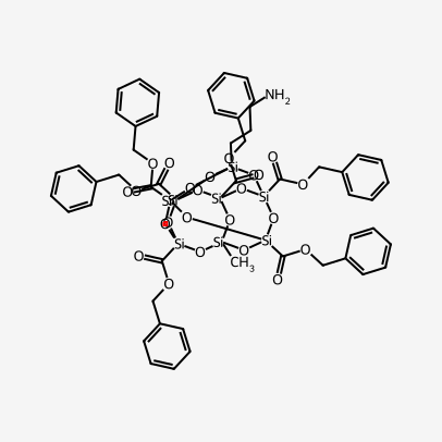 C[Si]12O[Si]3(C(=O)OCc4ccccc4)O[Si]4(C(=O)OCc5ccccc5)O[Si]5(CCCN)O[Si](C(=O)OCc6ccccc6)(O3)O[Si](C(=O)OCc3ccccc3)(O1)O[Si](C(=O)OCc1ccccc1)(O5)O[Si](C(=O)OCc1ccccc1)(O2)O4